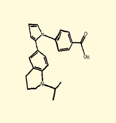 CC(C)N1CCCc2cc(-c3cccn3-c3ccc(C(=O)O)cc3)ccc21